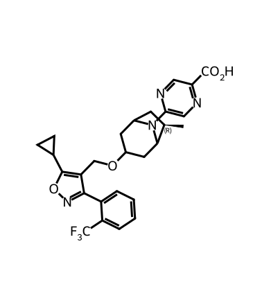 C[C@@H]1CC2CC(OCc3c(-c4ccccc4C(F)(F)F)noc3C3CC3)CC1N2c1cnc(C(=O)O)cn1